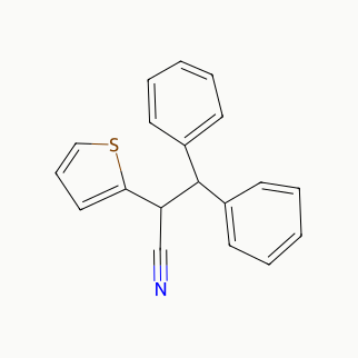 N#CC(c1cccs1)C(c1ccccc1)c1ccccc1